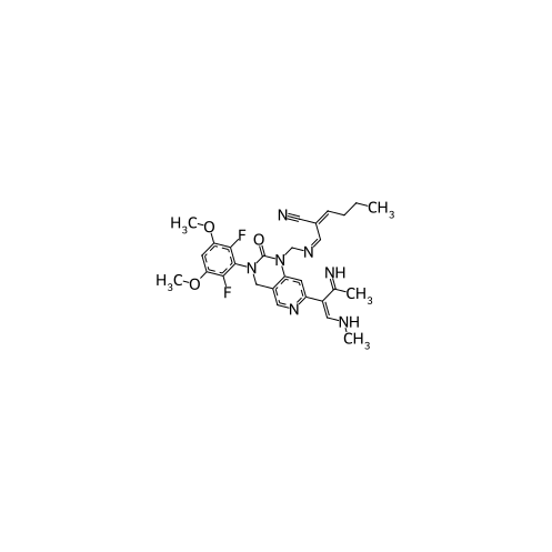 CCC/C=C(C#N)\C=N/CN1C(=O)N(c2c(F)c(OC)cc(OC)c2F)Cc2cnc(/C(=C/NC)C(C)=N)cc21